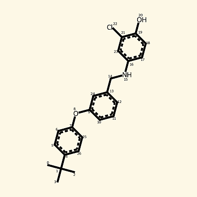 CC(C)(C)c1ccc(Oc2cccc(CNc3ccc(O)c(Cl)c3)c2)cc1